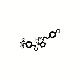 CN(CCc1ccc(Cl)cc1)C1CCCC1NC(=O)c1ccc(S(C)(=O)=O)cc1